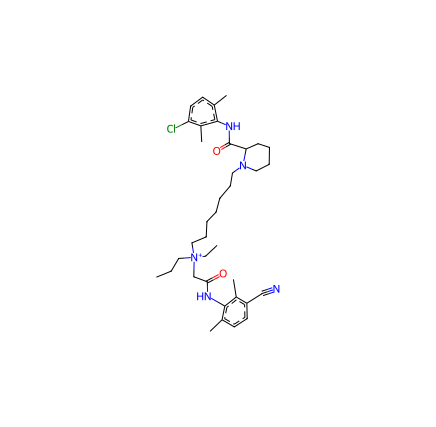 CCC[N+](CC)(CCCCCCCN1CCCCC1C(=O)Nc1c(C)ccc(Cl)c1C)CC(=O)Nc1c(C)ccc(C#N)c1C